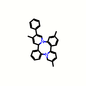 CC1=CC=C2c3ccc(C)cc3N3C=C(c4ccccc4)C(C)=CC3c3ccccc3N2C1